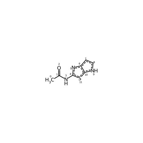 CC(=O)Nc1nc2cc[nH]c2s1